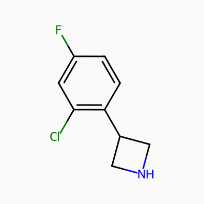 Fc1ccc(C2CNC2)c(Cl)c1